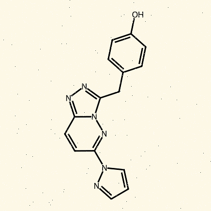 Oc1ccc(Cc2nnc3ccc(-n4cccn4)nn23)cc1